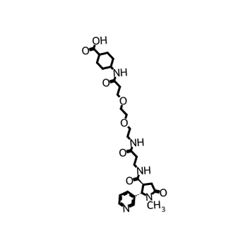 CN1C(=O)C[C@H](C(=O)NCCC(=O)NCCOCCOCCC(=O)NC2CCC(C(=O)O)CC2)[C@H]1c1cccnc1